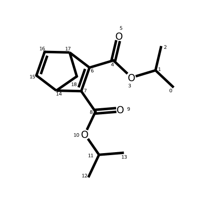 CC(C)OC(=O)C1=C(C(=O)OC(C)C)C2C=CC1C2